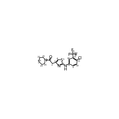 O=C(Cc1csc(Nc2ccc(Cl)c(C(F)(F)F)c2)n1)N1CCSCC1